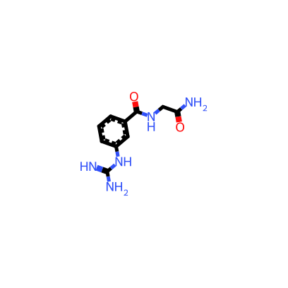 N=C(N)Nc1cccc(C(=O)NCC(N)=O)c1